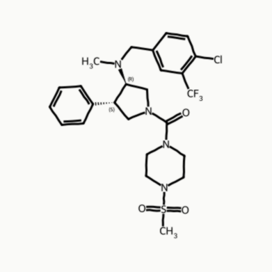 CN(Cc1ccc(Cl)c(C(F)(F)F)c1)[C@H]1CN(C(=O)N2CCN(S(C)(=O)=O)CC2)C[C@@H]1c1ccccc1